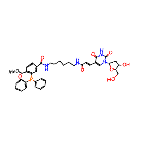 COC(=O)c1ccc(C(=O)NCCCCCCNC(=O)/C=C/c2cn([C@H]3CC(O)[C@@H](CO)O3)c(=O)[nH]c2=O)cc1P(c1ccccc1)c1ccccc1